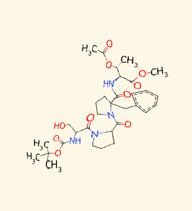 COC(=O)[C@@H](NC(=O)C1(Cc2ccccc2)CCCN1C(=O)C1CCCN1C(=O)C(CO)NC(=O)OC(C)(C)C)[C@@H](C)OC(C)=O